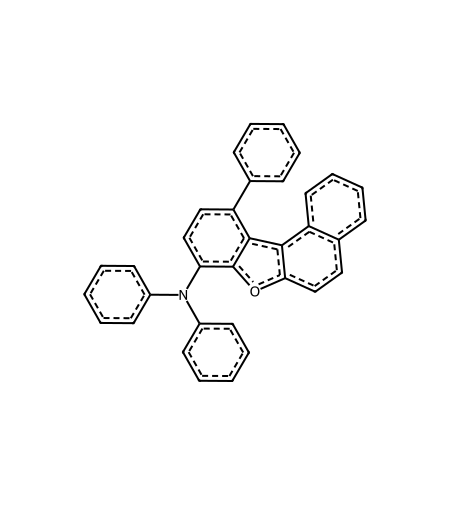 c1ccc(-c2ccc(N(c3ccccc3)c3ccccc3)c3oc4ccc5ccccc5c4c23)cc1